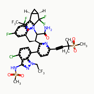 CC(C)(C#Cc1ccc(-c2ccc(Cl)c3c(NS(C)(=O)=O)nn(CC(F)(F)F)c23)c([C@@H](Cc2cc(F)cc(F)c2)C(C(N)=O)n2nc(C(F)(F)F)c3c2C(F)(F)[C@@H]2C[C@H]32)n1)S(C)(=O)=O